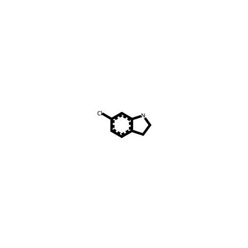 Clc1ccc2c(c1)[N]CC2